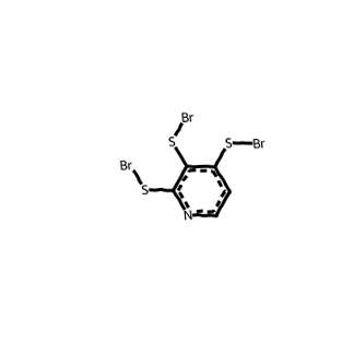 BrSc1ccnc(SBr)c1SBr